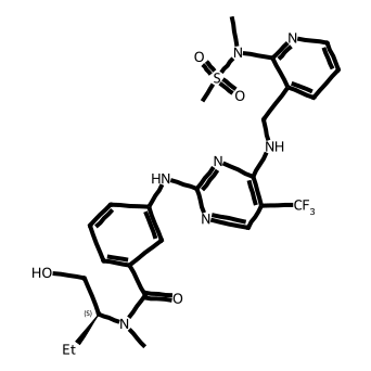 CC[C@@H](CO)N(C)C(=O)c1cccc(Nc2ncc(C(F)(F)F)c(NCc3cccnc3N(C)S(C)(=O)=O)n2)c1